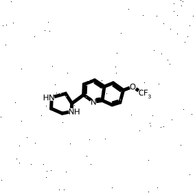 FC(F)(F)Oc1ccc2nc(C3CNCCN3)ccc2c1